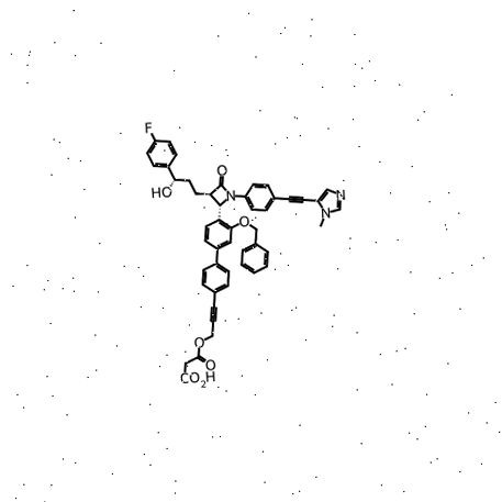 Cn1cncc1C#Cc1ccc(N2C(=O)[C@H](CC[C@H](O)c3ccc(F)cc3)[C@H]2c2ccc(-c3ccc(C#CCOC(=O)CC(=O)O)cc3)cc2OCc2ccccc2)cc1